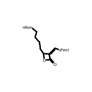 CCCCCC=C1C(=O)OC1CCCCCCCCCCCCC